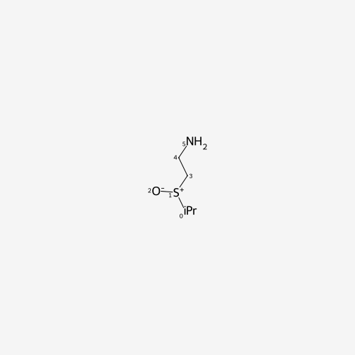 CC(C)[S+]([O-])CCN